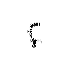 Nc1nc2c(ncn2CCN2CCN(c3ccc(OCC(=O)N4CCNCC4)cc3F)CC2)c2cc(-c3ccco3)nn12